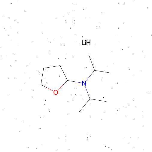 CC(C)N(C(C)C)C1CCCO1.[LiH]